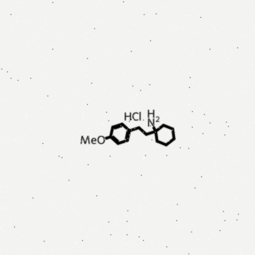 COc1ccc(CCC2(N)CCCCC2)cc1.Cl